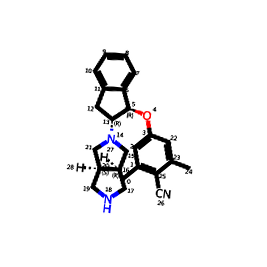 Cc1cc(O[C@@H]2c3ccccc3C[C@H]2N2C[C@H]3CNC[C@H]3C2)cc(C)c1C#N